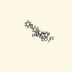 CCOC(=O)C(OCC(O)CN1CCC(COc2ccccc2)CC1)c1ccccc1[N+](=O)[O-]